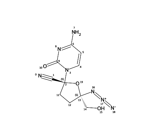 N#C[C@]1(n2ccc(N)nc2=O)CC[C@](CO)(N=[N+]=[N-])O1